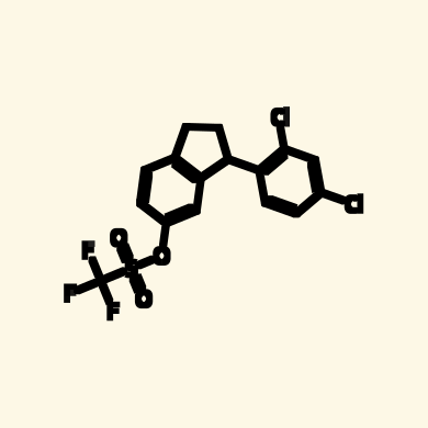 O=S(=O)(Oc1ccc2c(c1)C(c1ccc(Cl)cc1Cl)CC2)C(F)(F)F